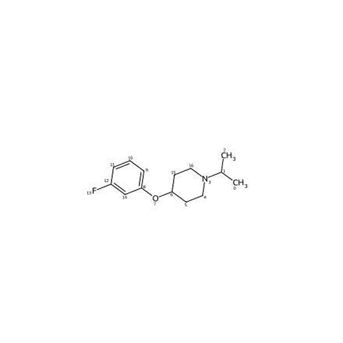 CC(C)N1CCC(Oc2cccc(F)c2)CC1